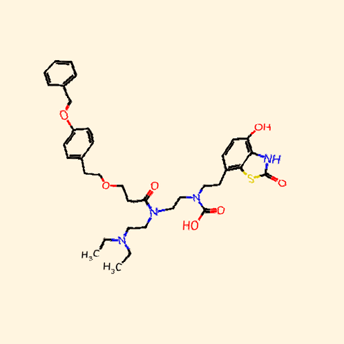 CCN(CC)CCN(CCN(CCc1ccc(O)c2[nH]c(=O)sc12)C(=O)O)C(=O)CCOCCc1ccc(OCc2ccccc2)cc1